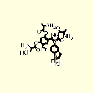 CC(N)C(=O)Oc1cc(OC(=O)C(C)N)c(C(C)C)cc1-c1nn(C(=O)C(C)N)c(=O)n1-c1ccc2c(ccn2C)c1.Cl.Cl.Cl